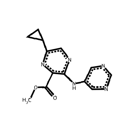 COC(=O)c1nc(C2CC2)cnc1Nc1cncnc1